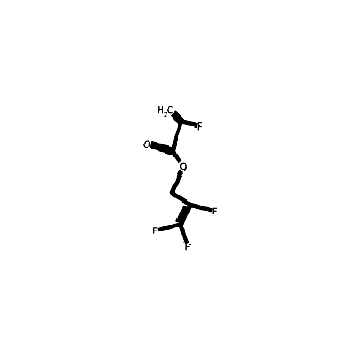 C=C(F)C(=O)OCC(F)=C(F)F